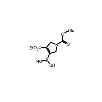 CCOC(=O)C1=C(B(O)O)CN(C(=O)OC(C)(C)C)C1